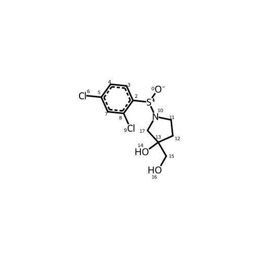 [O-][S+](c1ccc(Cl)cc1Cl)N1CCC(O)(CO)C1